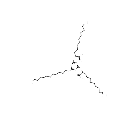 CCCCCCCCCCCCSc1nc(SC(CCCCCCCCCC)C(=O)O)nc(SC(CCCCCCCCCC)C(=O)O)n1